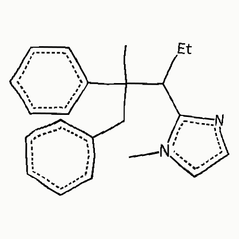 CCC(c1nccn1C)C(C)(Cc1ccccc1)c1ccccc1